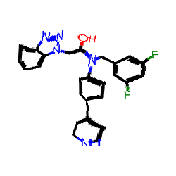 OC(Cn1nnc2ccccc21)N(Cc1cc(F)cc(F)c1)c1ccc(C2CCNCC2)cc1